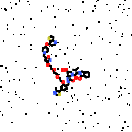 Cc1ncsc1-c1ccc(CNC(=O)[C@@H]2C[C@@H](O)CN2C(=O)[C@H](C(C)C)N2Cc3ccccc3C2=O)c(OCCOCCOCCOc2cc(CN3CCC(Oc4ccnc5ccsc45)CC3)on2)c1